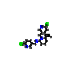 CC1CCC/C(=N\Cc2ccc(Cl)nc2)N1Cc1ccc(Cl)nc1